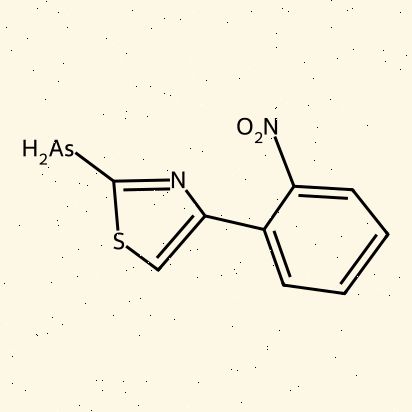 O=[N+]([O-])c1ccccc1-c1csc([AsH2])n1